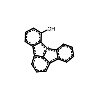 Oc1cccc2c3cccc4c5ccccc5n(c12)c43